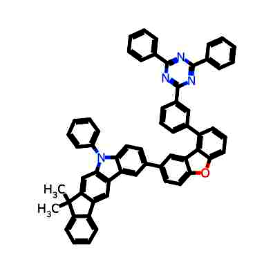 CC1(C)c2ccccc2-c2cc3c4cc(-c5ccc6oc7cccc(-c8cccc(-c9nc(-c%10ccccc%10)nc(-c%10ccccc%10)n9)c8)c7c6c5)ccc4n(-c4ccccc4)c3cc21